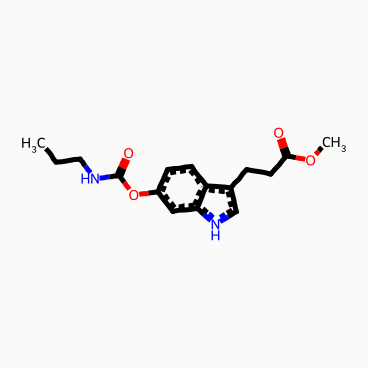 CCCNC(=O)Oc1ccc2c(CCC(=O)OC)c[nH]c2c1